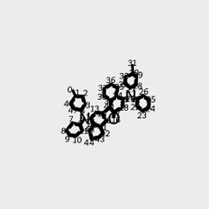 Cc1ccc(N(c2ccccc2)c2cc3c(oc4cc(N(c5ccccc5)c5ccc(C)cc5)c5ccccc5c43)c3ccccc23)cc1